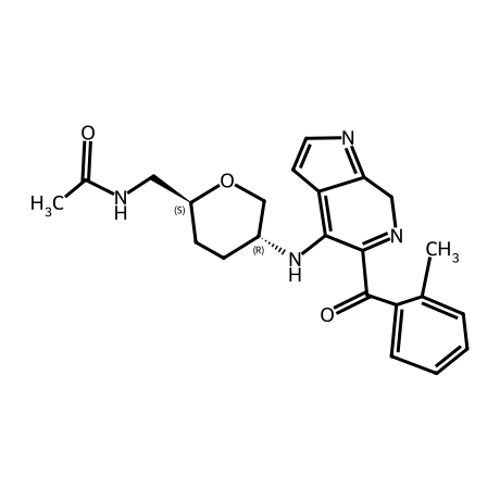 CC(=O)NC[C@@H]1CC[C@@H](NC2=C3C=CN=C3CN=C2C(=O)c2ccccc2C)CO1